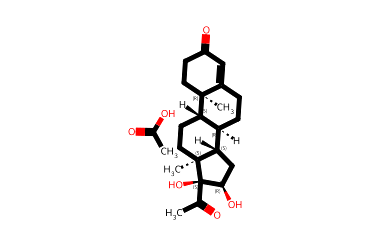 CC(=O)O.CC(=O)[C@@]1(O)[C@H](O)C[C@H]2[C@@H]3CCC4=CC(=O)CC[C@]4(C)[C@H]3CC[C@@]21C